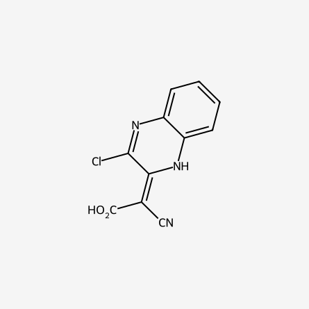 N#C/C(C(=O)O)=C1\Nc2ccccc2N=C1Cl